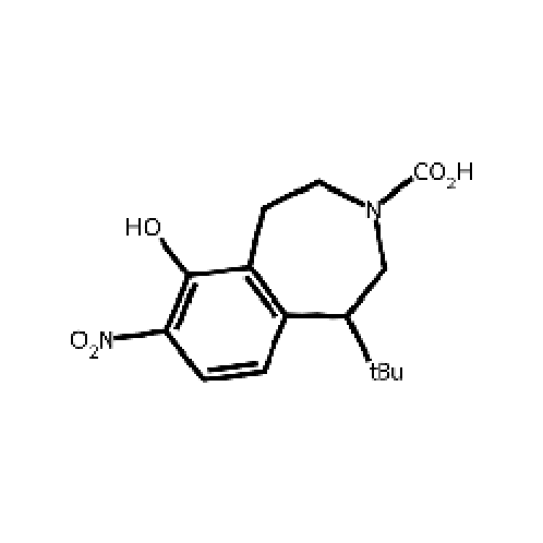 CC(C)(C)C1CN(C(=O)O)CCc2c1ccc([N+](=O)[O-])c2O